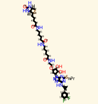 CCCSc1nc(N[C@@H]2C[C@H]2c2ccc(F)c(F)c2)c2nnn([C@@H]3C[C@H](OCCNC(=O)CCCCCNC(=O)CCCCCNC(=O)CCCCC4SC[C@@H]5NC(=O)N[C@H]45)[C@@H](O)[C@H]3O)c2n1